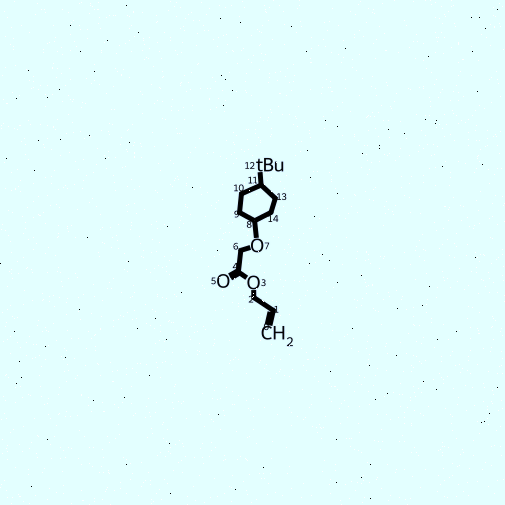 C=CCOC(=O)COC1CCC(C(C)(C)C)CC1